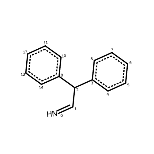 N=CC(c1ccccc1)c1ccccc1